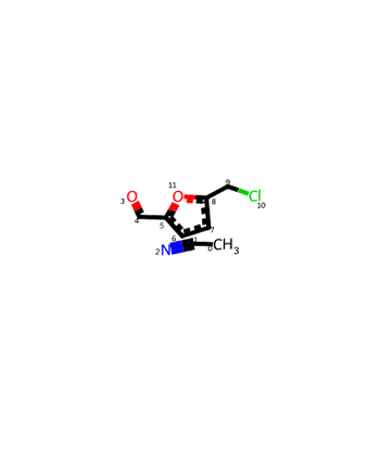 CC#N.O=Cc1ccc(CCl)o1